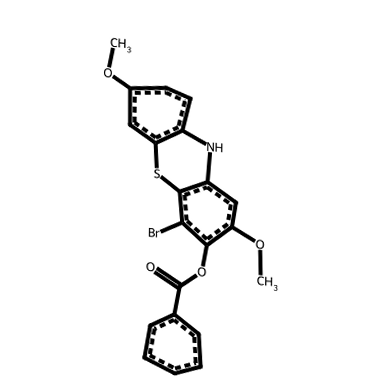 COc1ccc2c(c1)Sc1c(cc(OC)c(OC(=O)c3ccccc3)c1Br)N2